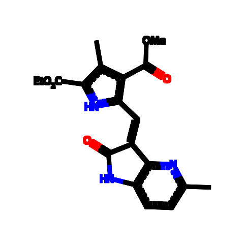 CCOC(=O)c1[nH]c(C=C2C(=O)Nc3ccc(C)nc32)c(C(=O)OC)c1C